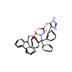 O=C(O)[C@H](Cc1c[nH]cn1)N(C(=O)OCC1c2ccccc2-c2ccccc21)C(c1ccccc1)(c1ccccc1)c1ccccc1